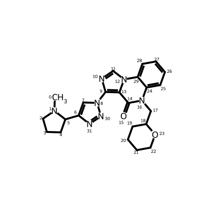 CN1CCCC1c1cn(-c2ncn3c2c(=O)n(CC2CCCCO2)c2ccccc23)nn1